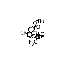 COc1ccc(Cl)c2c1[C@@H](CN1CC(C(F)(F)F)CC1=O)N(C(=O)OC(C)(C)C)CC2